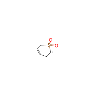 O=S1(=O)[C]CC=CC1